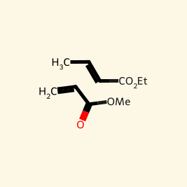 C=CC(=O)OC.CC=CC(=O)OCC